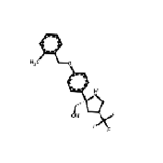 Cc1ccccc1COc1ccc([C@]2(CO)C[C@H](C(F)(F)F)CN2)cc1